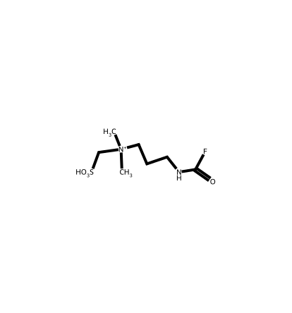 C[N+](C)(CCCNC(=O)F)CS(=O)(=O)O